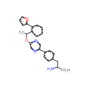 NC(Cc1ccc(-c2cnc(OC(c3ccccc3-c3ccco3)C(F)(F)F)cn2)cc1)C(=O)O